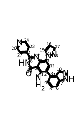 Nc1c(-c2cccc3[nH]ncc23)cc(-n2cccn2)c2nc(-c3ccncc3)[nH]c(=O)c12